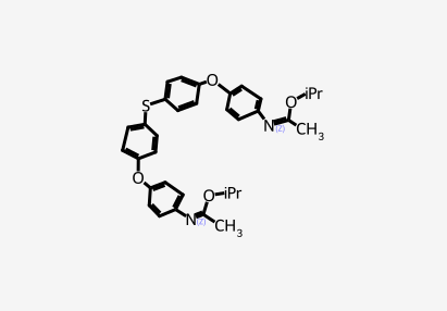 C/C(=N/c1ccc(Oc2ccc(Sc3ccc(Oc4ccc(/N=C(/C)OC(C)C)cc4)cc3)cc2)cc1)OC(C)C